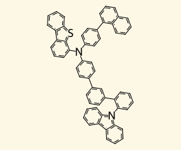 c1cc(-c2ccc(N(c3ccc(-c4cccc5ccccc45)cc3)c3cccc4c3sc3ccccc34)cc2)cc(-c2ccccc2-n2c3ccccc3c3ccccc32)c1